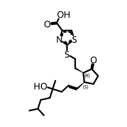 CC(C)CCC(C)(O)CC=C[C@@H]1CCC(=O)[C@@H]1CCSc1nc(C(=O)O)cs1